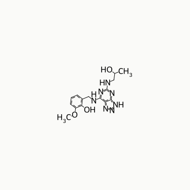 COc1cccc(CNc2nc(NCC(C)O)nc3[nH]nnc23)c1O